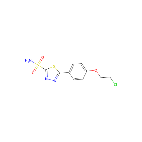 NS(=O)(=O)c1nnc(-c2ccc(OCCCl)cc2)s1